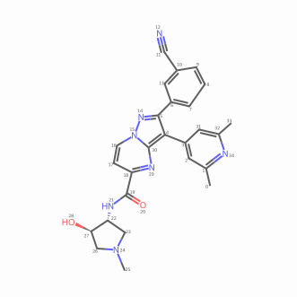 Cc1cc(-c2c(-c3cccc(C#N)c3)nn3ccc(C(=O)N[C@@H]4CN(C)C[C@H]4O)nc23)cc(C)n1